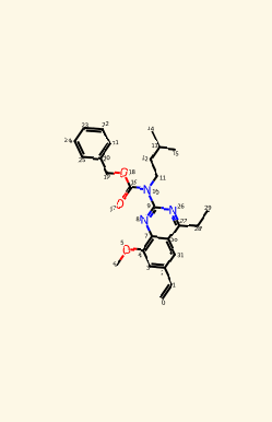 C=Cc1cc(OC)c2nc(N(CCC(C)C)C(=O)OCc3ccccc3)nc(CC)c2c1